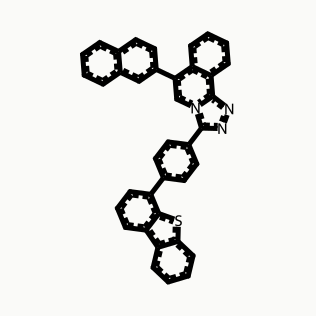 c1ccc2cc(-c3cn4c(-c5ccc(-c6cccc7c6sc6ccccc67)cc5)nnc4c4ccccc34)ccc2c1